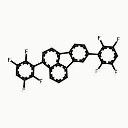 Fc1cc(F)c(F)c(-c2ccc3c(c2)-c2cccc4c(-c5c(F)c(F)cc(F)c5F)ccc-3c24)c1F